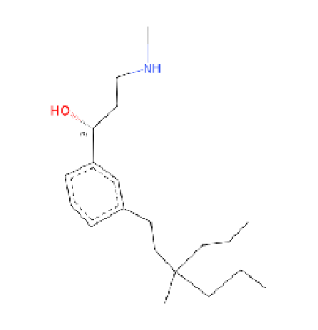 CCCC(C)(CCC)CCc1cccc([C@H](O)CCNC)c1